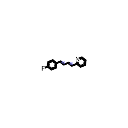 Fc1ccc(/C=C/C=C/c2ccccn2)cc1